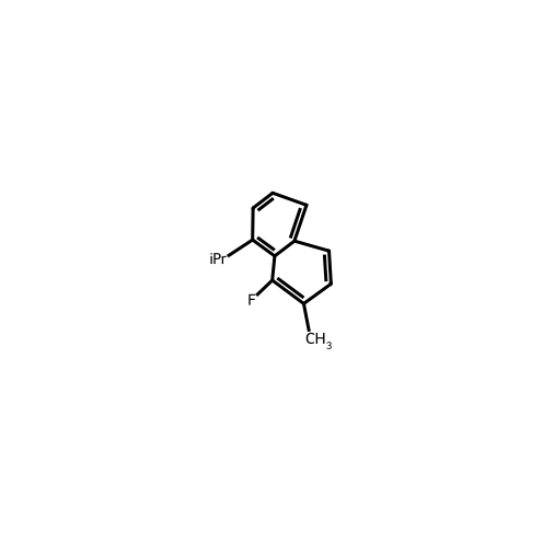 Cc1ccc2cccc(C(C)C)c2c1F